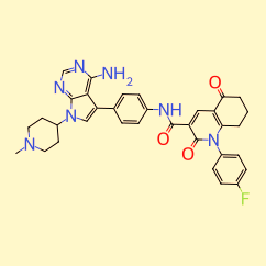 CN1CCC(n2cc(-c3ccc(NC(=O)c4cc5c(n(-c6ccc(F)cc6)c4=O)CCCC5=O)cc3)c3c(N)ncnc32)CC1